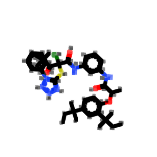 CCC(C)(C)c1ccc(OC(C)C(=O)Nc2cccc(NC(=O)C(Cl)(Sc3nnnn3-c3ccccc3)C(=O)C(C)(C)C)c2)c(C(C)(C)CC)c1